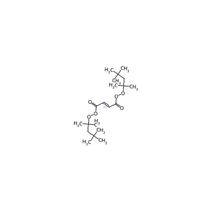 CC(C)(C)CC(C)(C)OOC(=O)/C=C/C(=O)OOC(C)(C)CC(C)(C)C